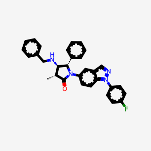 C[C@H]1C(=O)N(c2ccc3c(cnn3-c3ccc(F)cc3)c2)[C@@H](c2ccccc2)[C@@H]1NCc1ccccc1